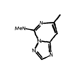 CNc1nc(C)cc2ncnn12